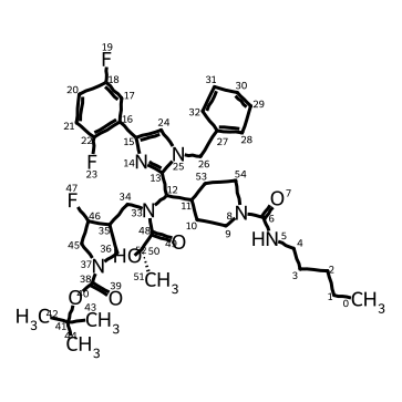 CCCCCNC(=O)N1CCC(C(c2nc(-c3cc(F)ccc3F)cn2Cc2ccccc2)N(CC2CN(C(=O)OC(C)(C)C)CC2F)C(=O)[C@H](C)O)CC1